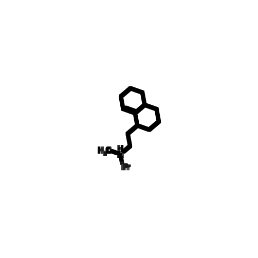 CC(C)[SiH](C)CCC1CCCC2CCCC=C21